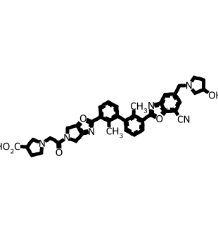 Cc1c(-c2nc3c(o2)CN(C(=O)CN2CCC(C(=O)O)C2)C3)cccc1-c1cccc(-c2nc3cc(CN4CCC(O)C4)cc(C#N)c3o2)c1C